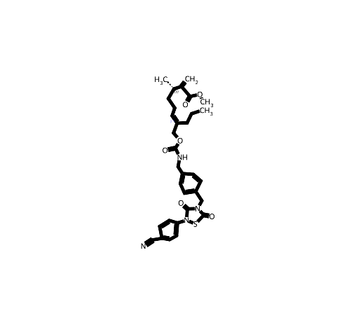 C=C(C(=O)OC)[C@@H](C)CC/C=C(\CCC)COC(=O)NCc1ccc(Cn2c(=O)sn(-c3ccc(C#N)cc3)c2=O)cc1